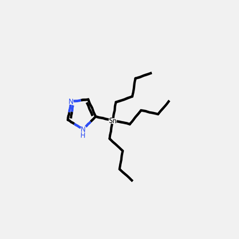 CCC[CH2][Sn]([CH2]CCC)([CH2]CCC)[c]1cnc[nH]1